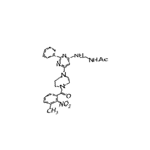 CC(=O)NCCNc1cc(N2CCN(C(=O)c3cccc(C)c3[N+](=O)[O-])CC2)nc(-c2ccccc2)n1